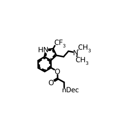 CCCCCCCCCCCC(=O)Oc1cccc2[nH]c(C(F)(F)F)c(CCN(C)C)c12